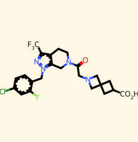 O=C(O)C1CC2(C1)CN(CC(=O)N1CCc3c(C(F)(F)F)nn(Cc4ccc(Cl)cc4F)c3C1)C2